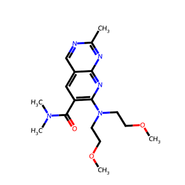 COCCN(CCOC)c1nc2nc(C)ncc2cc1C(=O)N(C)C